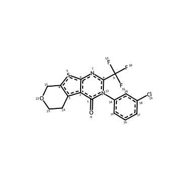 O=c1c2c3c(sc2nc(C(F)(F)F)n1-c1cccc(Cl)c1)COCC3